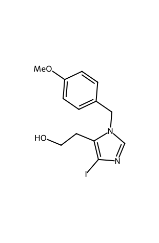 COc1ccc(Cn2cnc(I)c2CCO)cc1